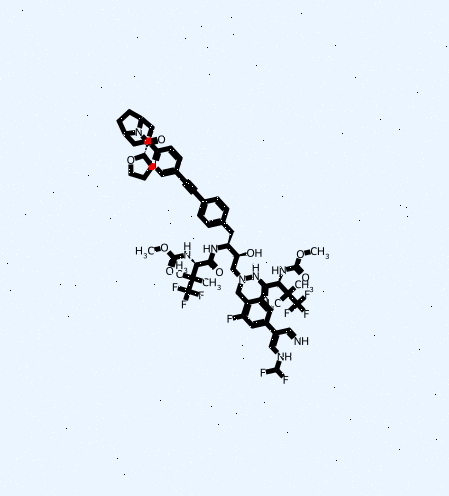 COC(=O)N[C@H](C(=O)N[C@@H](Cc1ccc(C#Cc2ccc(N3CC4CCC(C3)N4C(=O)[C@@H]3CCCO3)nc2)cc1)[C@@H](O)CN(Cc1c(F)cc(/C(C=N)=C/NC(F)F)cc1F)NC(=O)[C@@H](NC(=O)OC)C(C)(C)C(F)(F)F)C(C)(C)C(F)(F)F